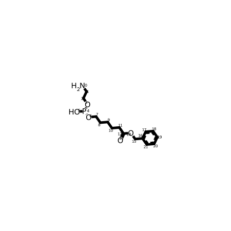 NCCOP(O)OCCCCCC(=O)OCc1ccccc1